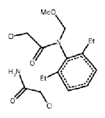 CCc1cccc(CC)c1N(COC)C(=O)CCl.NC(=O)CCl